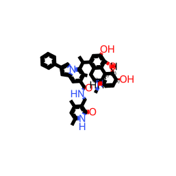 Cc1cc(C)c(CNC(=O)c2cc3cc(-c4ccccc4)cn3c(C(C)c3cc(O)c4c5c3C[C@@H]3[C@@H]6C=C[C@H](O)[C@H](O4)[C@]56CCN3C)c2C)c(=O)[nH]1